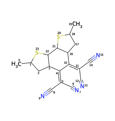 CC1CC2C(=C(C#N)C#N)C(=C(C#N)C#N)C3CC(C)SC3C2S1